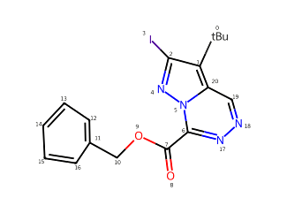 CC(C)(C)c1c(I)nn2c(C(=O)OCc3ccccc3)nncc12